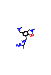 CC(N)CNCc1cc(CN(C)C)cc(CN(C)C)c1O